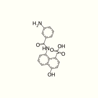 Nc1cccc(C(=O)Nc2cccc3c(O)ccc(S(=O)(=O)O)c23)c1